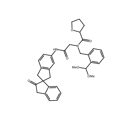 COC(OC)c1ccccc1CN(CC(=O)Nc1ccc2c(c1)CC1(C2)C(=O)Cc2ccccc21)C(=O)C1CCCO1